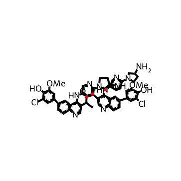 COc1cc(-c2ccc3ncc(C(C)C(=O)C(C)c4cnc5ccc(-c6cc(Cl)c(O)c(OC)c6)cc5c4Nc4ccc(N5CCC(N)C5)nc4)c(Nc4ccc(N5CCC(N)C5)nc4)c3c2)cc(Cl)c1O